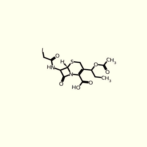 CCC(OC(C)=O)C1=C(C(=O)O)N2C(=O)C(NC(=O)CI)[C@@H]2SC1